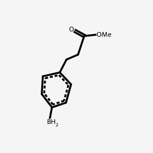 Bc1ccc(CCC(=O)OC)cc1